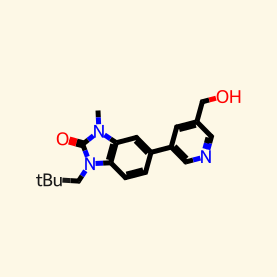 Cn1c(=O)n(CC(C)(C)C)c2ccc(-c3cncc(CO)c3)cc21